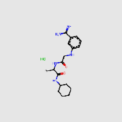 CC(C)C(NC(=O)CNc1cccc(C(=N)N)c1)C(=O)NC1CCCCC1.Cl